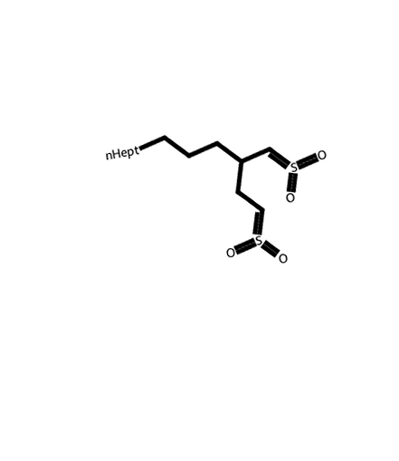 CCCCCCCCCCC(C=S(=O)=O)CC=S(=O)=O